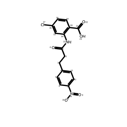 O=C(CCc1ccc([N+](=O)[O-])cc1)Nc1cc(Cl)ccc1C(=O)O